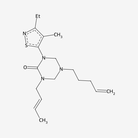 C=CCCCN1CN(CC=CC)C(=O)N(c2snc(CC)c2C)C1